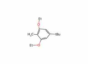 CCOc1cc(C(C)(C)C)cc(OCC)c1C